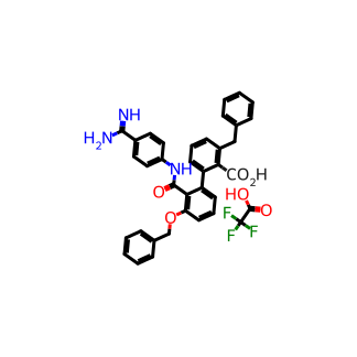 N=C(N)c1ccc(NC(=O)c2c(OCc3ccccc3)cccc2-c2cccc(Cc3ccccc3)c2C(=O)O)cc1.O=C(O)C(F)(F)F